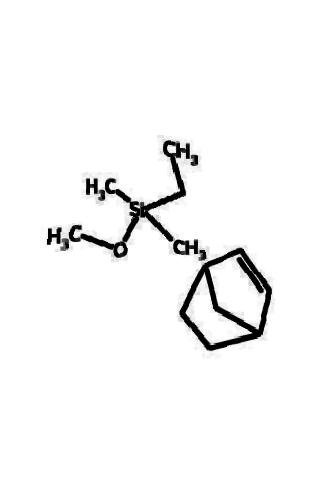 C1=CC2CCC1C2.CC[Si](C)(C)OC